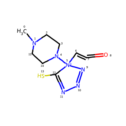 CN1CCN([N+]2(C=C=O)N=NN=C2S)CC1